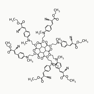 CCOC(=O)/C(C#N)=C/c1ccc(N(C)CCOC(=O)C2C(C(=O)OCCN(C)c3ccc(/C=C(\C#N)C(=O)OCC)cc3)C(C(=O)OCCN(C)c3ccc(/C=C(\C#N)C(=O)OCC)cc3)C(C(=O)OCCN(C)c3ccc(/C=C(\C#N)C(=O)OCC)cc3)C(C(=O)OCCN(C)c3ccc(/C=C(\C#N)C(=O)OCC)cc3)C2C(=O)OCCN(C)c2ccc(/C=C(\C#N)C(=O)OCC)cc2)cc1